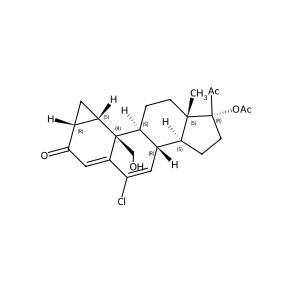 CC(=O)O[C@]1(C(C)=O)CC[C@H]2[C@@H]3C=C(Cl)C4=CC(=O)[C@@H]5C[C@@H]5[C@]4(CO)[C@H]3CC[C@@]21C